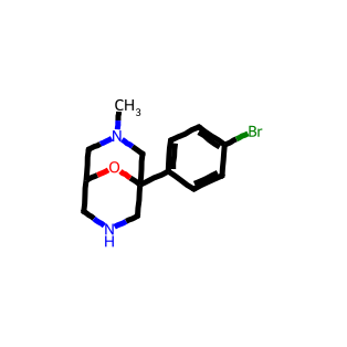 CN1CC2CNCC(c3ccc(Br)cc3)(C1)O2